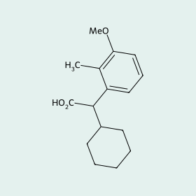 COc1cccc(C(C(=O)O)C2CCCCC2)c1C